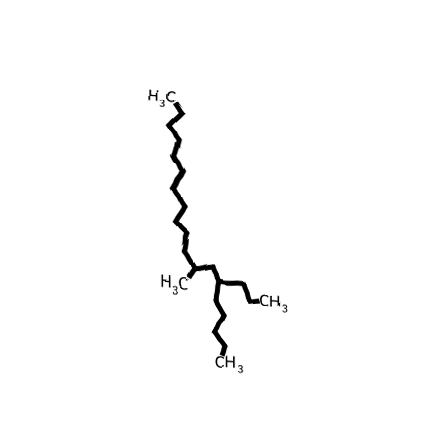 CCCCCCCCCCCC(C)CC(CCC)CCCCC